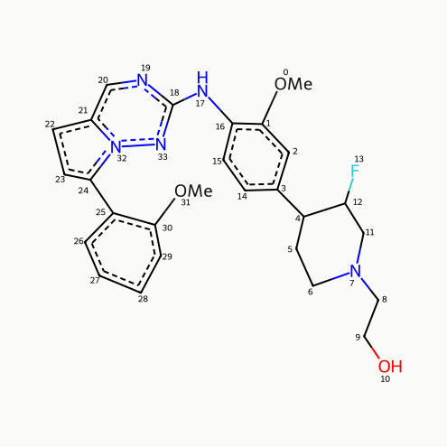 COc1cc(C2CCN(CCO)CC2F)ccc1Nc1ncc2ccc(-c3ccccc3OC)n2n1